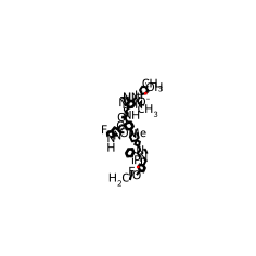 C=CC(F)Oc1ccc(CN2CCN(C3CC4(CCN(c5ccc(C(=O)NSc6cc([NH+](C)[O-])c(NC[C@H]7CC[C@](C)(O)CC7)c7ncnn67)c(Oc6cc7c(F)c[nH]c7nc6OC)c5)CC4)C3)[C@H](c3ccccc3C(C)C)C2)cc1